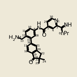 CCCC(=N)c1cc(C(=O)Nc2ccc(CN)c(-c3ccc4c(c3)CC(C)(C)C4=O)c2)ccn1